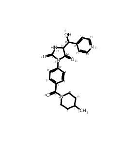 CC1CCN(C(=O)c2ccc(N3C(=O)NC(C(O)c4ccncc4)C3=O)cc2)CC1